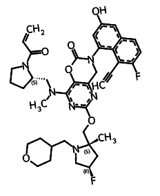 C#Cc1c(F)ccc2cc(O)cc(N3Cc4nc(OC[C@]5(C)C[C@@H](F)CN5CC5CCOCC5)nc(N(C)C[C@@H]5CCCN5C(=O)C=C)c4OC3=O)c12